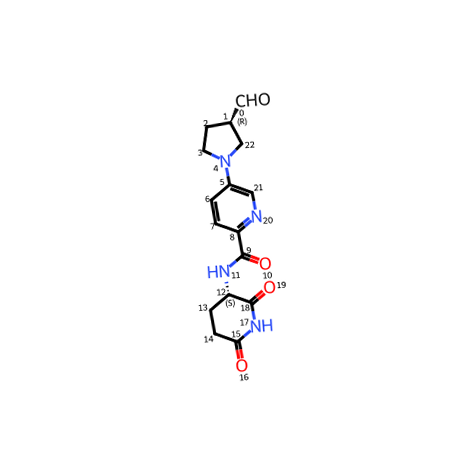 O=C[C@@H]1CCN(c2ccc(C(=O)N[C@H]3CCC(=O)NC3=O)nc2)C1